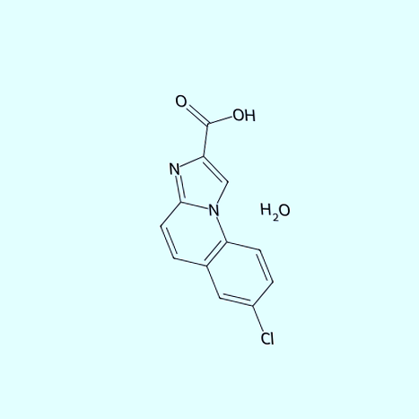 O.O=C(O)c1cn2c(ccc3cc(Cl)ccc32)n1